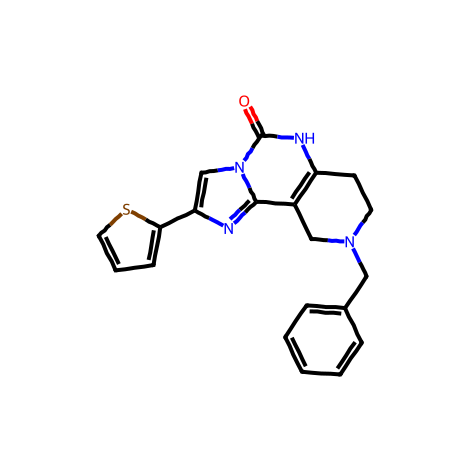 O=c1[nH]c2c(c3nc(-c4cccs4)cn13)CN(Cc1ccccc1)CC2